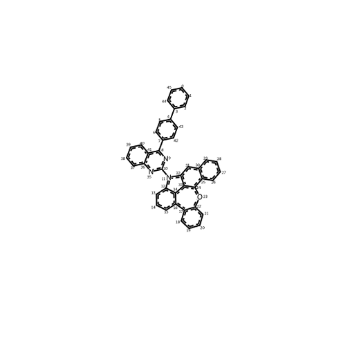 c1ccc(-c2ccc(-c3nc(-n4c5cccc6c7ccccc7oc7c8ccccc8cc4c7c65)nc4ccccc34)cc2)cc1